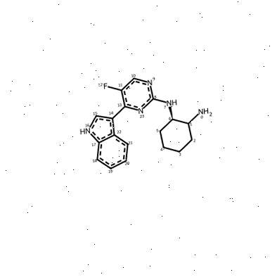 NC1CC[CH]C[C@H]1Nc1ncc(F)c(-c2c[nH]c3ccccc23)n1